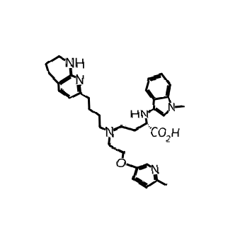 Cc1ccc(OCCN(CCCCc2ccc3c(n2)NCCC3)CC[C@H](Nc2cn(C)c3ccccc23)C(=O)O)cn1